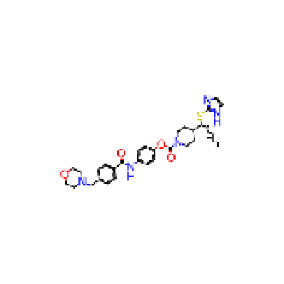 CC(Sc1ncc[nH]1)C1CCN(C(=O)Oc2ccc(NC(=O)c3ccc(CN4CCOCC4)cc3)cc2)CC1